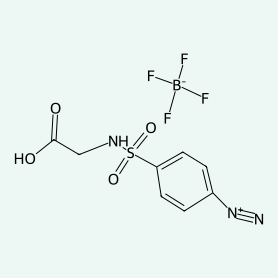 F[B-](F)(F)F.N#[N+]c1ccc(S(=O)(=O)NCC(=O)O)cc1